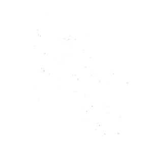 C=CCN(CC=C)[C@@H]1c2onc(OCCCC)c2C(=O)[C@@]2(O[Si](C)(C)C(C)(C)C)C(O)=C3C(=O)c4c(OCCCC)cc(C5CCCN5CC)c(Cl)c4C[C@H]3C[C@@H]12